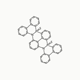 S=P12c3ccccc3-c3ccccc3N1c1cccc3c1-c1c2cccc1P1(=S)c2ccccc2-c2ccccc2N31